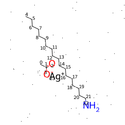 CC(=O)[O-].CCCCCCCCCCCCCCCCCCN.[Ag+]